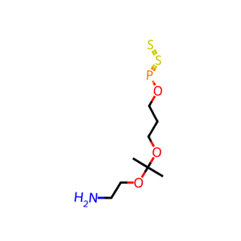 CC(C)(OCCN)OCCCOP=S=S